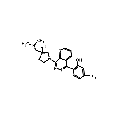 CN(C)C[C@@]1(O)CCN(c2nnc(-c3ccc(C(F)(F)F)cc3O)c3cccnc23)C1